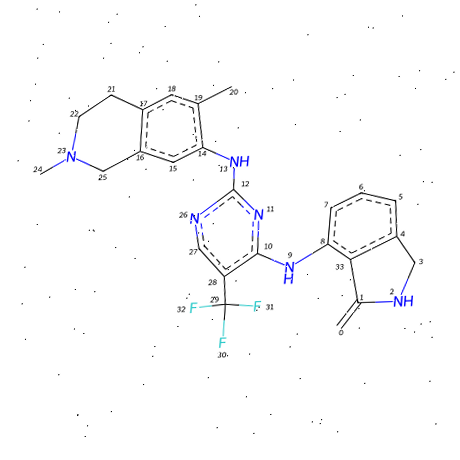 C=C1NCc2cccc(Nc3nc(Nc4cc5c(cc4C)CCN(C)C5)ncc3C(F)(F)F)c21